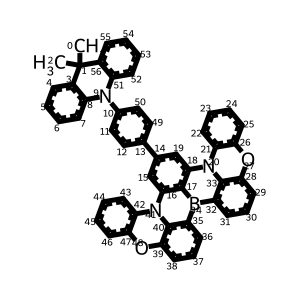 CC1(C)c2ccccc2N(c2ccc(-c3cc4c5c(c3)N3c6ccccc6Oc6cccc(c63)B5c3cccc5c3N4c3ccccc3O5)cc2)c2ccccc21